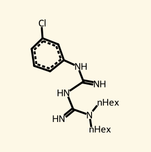 CCCCCCN(CCCCCC)C(=N)NC(=N)Nc1cccc(Cl)c1